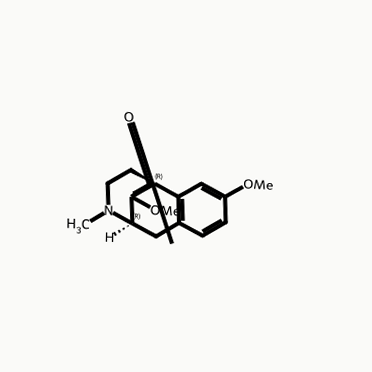 COc1ccc2c(c1)[C@]13CCN(C)[C@H](C2)C1(OC)CCC(=O)C3